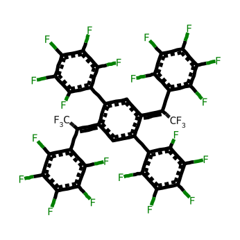 Fc1c(F)c(F)c(/C(=c2\cc(-c3c(F)c(F)c(F)c(F)c3F)/c(=C(/c3c(F)c(F)c(F)c(F)c3F)C(F)(F)F)cc2-c2c(F)c(F)c(F)c(F)c2F)C(F)(F)F)c(F)c1F